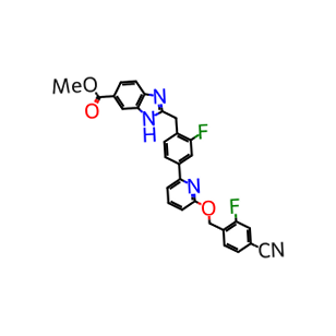 COC(=O)c1ccc2nc(Cc3ccc(-c4cccc(OCc5ccc(C#N)cc5F)n4)cc3F)[nH]c2c1